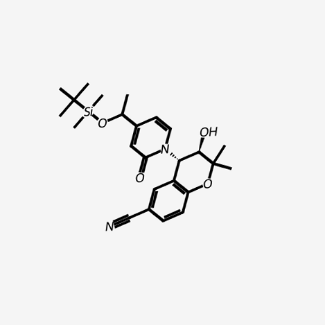 CC(O[Si](C)(C)C(C)(C)C)c1ccn([C@H]2c3cc(C#N)ccc3OC(C)(C)[C@@H]2O)c(=O)c1